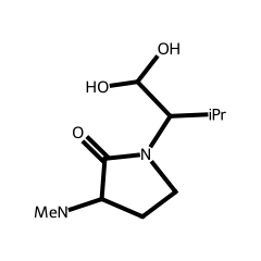 CNC1CCN(C(C(C)C)C(O)O)C1=O